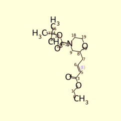 CCOC(=O)/C=C/CC1CN(C(=O)OC(C)(C)C)CCO1